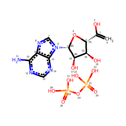 C=C(O)[C@H]1O[C@@H](n2cnc3c(N)ncnc32)[C@H](O)[C@@H]1O.O=P(O)(O)OP(=O)(O)O